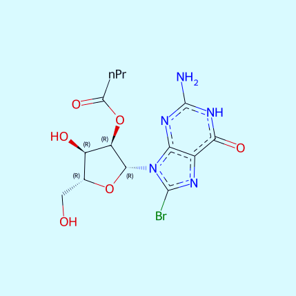 CCCC(=O)O[C@@H]1[C@H](O)[C@@H](CO)O[C@H]1n1c(Br)nc2c(=O)[nH]c(N)nc21